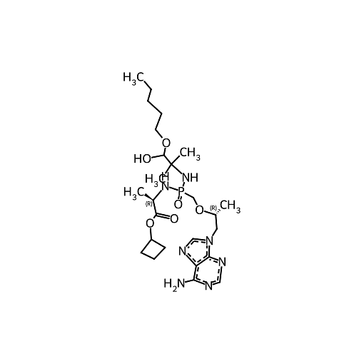 CCCCCOC(O)C(C)(C)NP(=O)(CO[C@H](C)Cn1cnc2c(N)ncnc21)N[C@H](C)C(=O)OC1CCC1